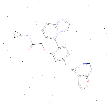 O=C(COc1cc(Oc2nccc3occc23)ccc1-c1cccc2nccn12)NC1CC1